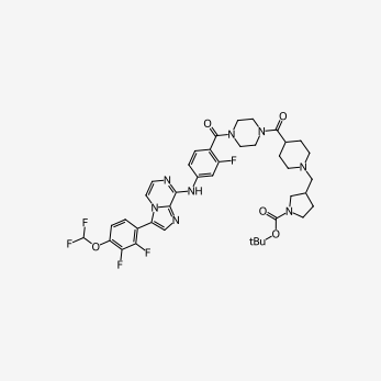 CC(C)(C)OC(=O)N1CCC(CN2CCC(C(=O)N3CCN(C(=O)c4ccc(Nc5nccn6c(-c7ccc(OC(F)F)c(F)c7F)cnc56)cc4F)CC3)CC2)C1